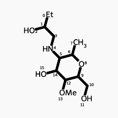 CCC(O)CNC1C(C)OC(CO)C(OC)C1O